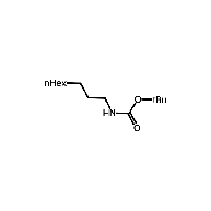 CCCCCCCCCNC(=O)OC(C)(C)C